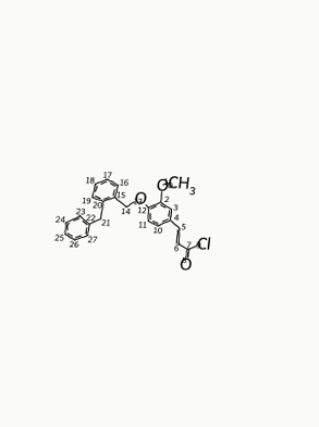 COc1cc(C=CC(=O)Cl)ccc1OCc1ccccc1Cc1ccccc1